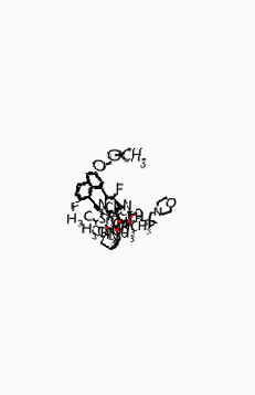 COCOc1cc(-c2ncc3c(N4CC5CCC(C4)N5C(=O)OC(C)(C)C)nc(OCC4(CN5CCOCC5)CC4)nc3c2F)c2c(C#C[Si](C(C)C)(C(C)C)C(C)C)c(F)ccc2c1